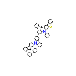 CC1(C)c2ccccc2-c2cc(-c3ccc4c(c3)c3ccccc3n4-c3ccc4c(c3)C(c3ccccc3)(c3ccccc3)c3ccccc3-4)cc(N(c3ccccc3)c3ccc4c(c3)sc3ccccc34)c21